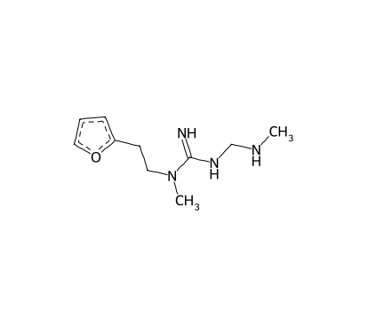 CNCNC(=N)N(C)CCc1ccco1